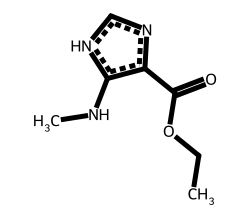 CCOC(=O)c1nc[nH]c1NC